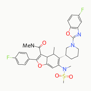 CNC(=O)C1=C(c2ccc(F)cc2)OC2=CC(N(C)S(C)(=O)=O)=C([C@H]3CCCN(c4nc5cc(F)ccc5o4)C3)C(C)C21